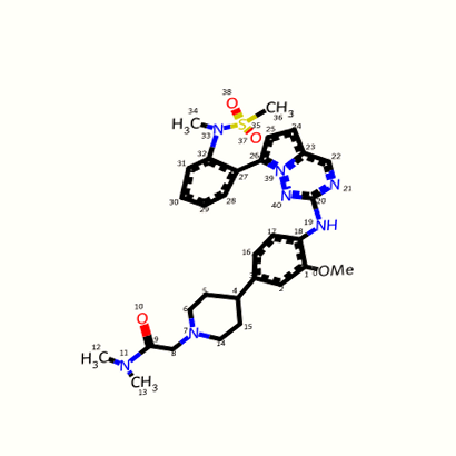 COc1cc(C2CCN(CC(=O)N(C)C)CC2)ccc1Nc1ncc2ccc(-c3ccccc3N(C)S(C)(=O)=O)n2n1